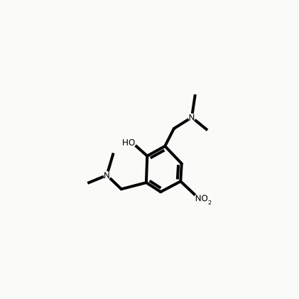 CN(C)Cc1cc([N+](=O)[O-])cc(CN(C)C)c1O